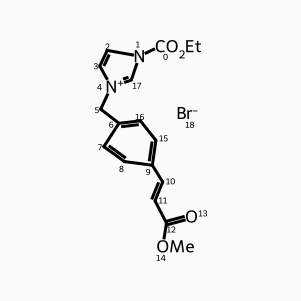 CCOC(=O)n1cc[n+](Cc2ccc(C=CC(=O)OC)cc2)c1.[Br-]